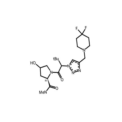 CNC(=O)[C@H]1CC(O)CN1C(=O)C(n1cc(CN2CCC(F)(F)CC2)nn1)C(C)(C)C